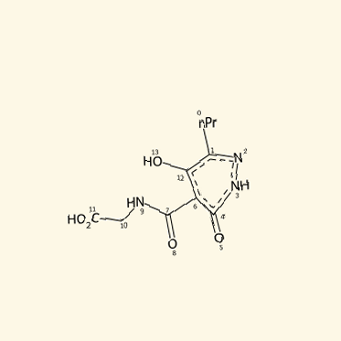 CCCc1n[nH]c(=O)c(C(=O)NCC(=O)O)c1O